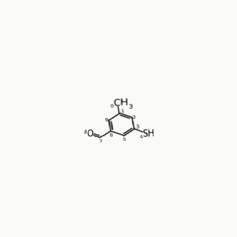 Cc1cc(S)cc(C=O)c1